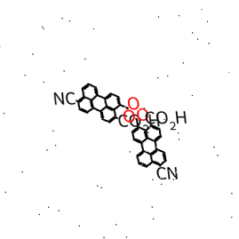 N#Cc1ccc2c3ccc(C(=O)O)c4c(C(=O)OC(=O)c5ccc6c7cccc8c(C#N)ccc(c9ccc(C(=O)O)c5c96)c87)ccc(c5cccc1c25)c43